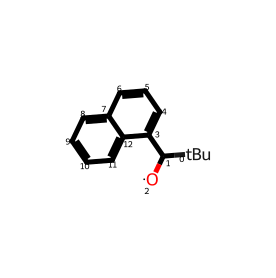 CC(C)(C)C([O])c1cccc2ccccc12